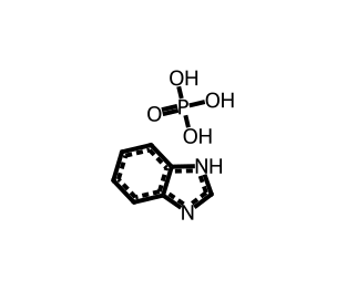 O=P(O)(O)O.c1ccc2[nH]cnc2c1